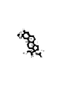 CC(O)C[C@]1(C(=O)CO)CC[C@H]2[C@@H]3CCC4=CC(=O)C5(C[C@]4(C)[C@H]3CC[C@@]21C)OCO5